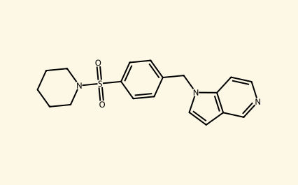 O=S(=O)(c1ccc(Cn2ccc3cnccc32)cc1)N1CCCCC1